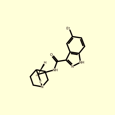 CCc1ccc2[nH]nc(C(=O)N[C@@H]3CN4CCC3CC4)c2c1